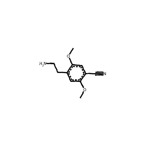 COc1cc(CCN)c(OC)cc1C#N